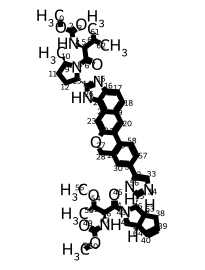 COC(=O)N[C@H](C(=O)N1[C@@H](C)CC[C@H]1c1nc2ccc3cc4c(cc3c2[nH]1)OCc1cc(-c2cnc([C@@H]3[C@@H]5CC#C[C@@H]5CN3C(=O)[C@@H](NC(=O)OC)[C@@H](C)OC)[nH]2)ccc1-4)C(C)C